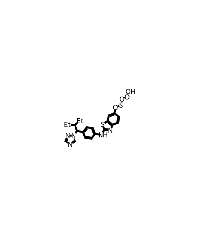 CCC(CC)C(c1ccc(Nc2nc3ccc(OSOOO)cc3s2)cc1)n1cncn1